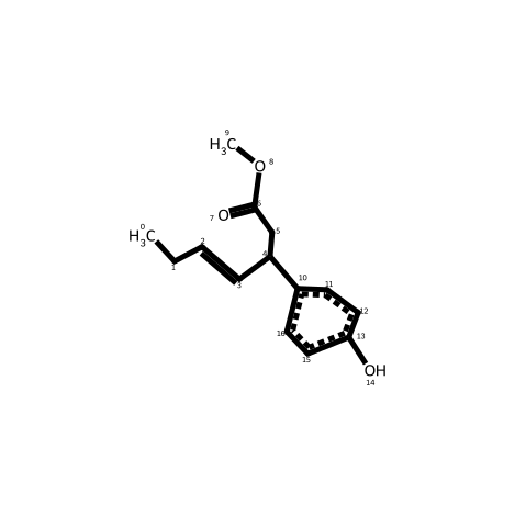 CC/C=C/C(CC(=O)OC)c1ccc(O)cc1